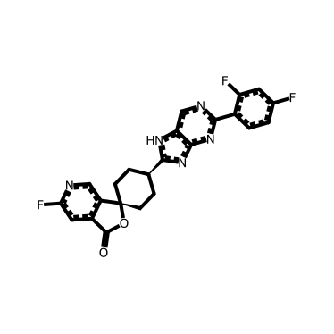 O=C1O[C@]2(CC[C@H](c3nc4nc(-c5ccc(F)cc5F)ncc4[nH]3)CC2)c2cnc(F)cc21